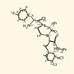 CCC[C@@H]1C(=O)N(C(Cc2ccc(Cl)c(Cl)c2)C(=O)NC(C)C)CCN1C(=O)C(N)Cc1ccc(F)cc1